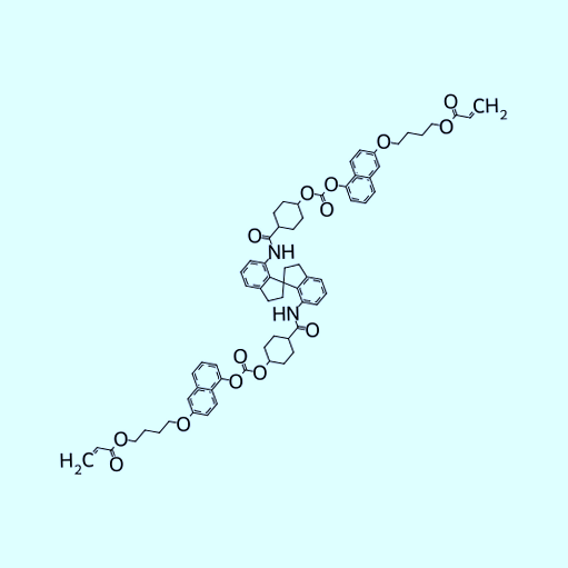 C=CC(=O)OCCCCOc1ccc2c(OC(=O)OC3CCC(C(=O)Nc4cccc5c4C4(CC5)CCc5cccc(NC(=O)C6CCC(OC(=O)Oc7cccc8cc(OCCCCOC(=O)C=C)ccc78)CC6)c54)CC3)cccc2c1